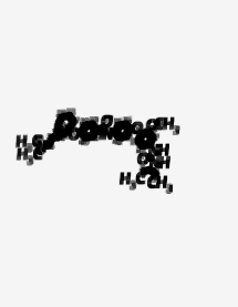 CCC(CC)NC(=O)Nc1ccc(Oc2ccc(NC(=O)c3ccc(OC45CCCC(CC4)N5CCCN(C)C)cc3)cc2)c(OC)c1